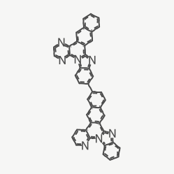 c1ccc2cc3c(cc2c1)c1nccnc1n1c2ccc(-c4ccc5cc6c(cc5c4)c4cccnc4n4c5ccccc5nc64)cc2nc31